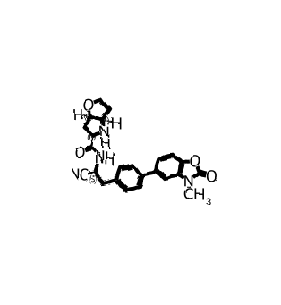 Cn1c(=O)oc2ccc(-c3ccc(C[C@@H](C#N)NC(=O)[C@H]4C[C@H]5OCC[C@H]5N4)cc3)cc21